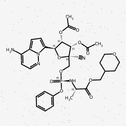 CC(=O)O[C@H]1[C@H](c2ccc3c(N)ccnn23)O[C@](C#N)(CO[P@](=O)(N[C@@H](C)C(=O)OCC2CCOCC2)Oc2ccccc2)[C@H]1OC(C)=O